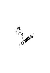 O=[Si].[Pb].[Te]